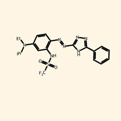 CCN(c1ccc(N=Nc2nnc(-c3ccccc3)[nH]2)c(NS(=O)(=O)C(F)(F)F)c1)C(C)C